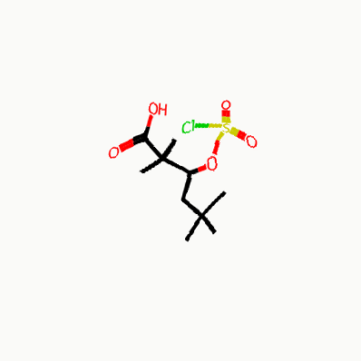 CC(C)(C)CC(OS(=O)(=O)Cl)C(C)(C)C(=O)O